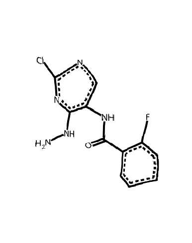 NNc1nc(Cl)ncc1NC(=O)c1ccccc1F